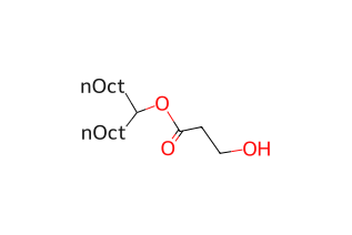 CCCCCCCCC(CCCCCCCC)OC(=O)CCO